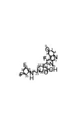 COc1ccc2ncc(N(C)C)c(C(F)CCC3(CC(=O)O)CCN(CCNc4cc(F)cc(F)c4)CC3)c2c1